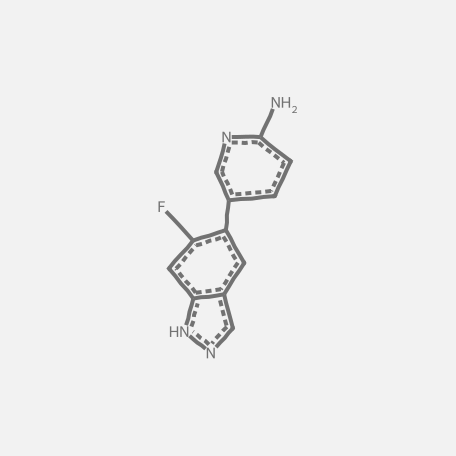 Nc1ccc(-c2cc3cn[nH]c3cc2F)cn1